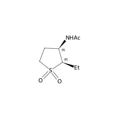 CC[C@@H]1[C@H](NC(C)=O)CCS1(=O)=O